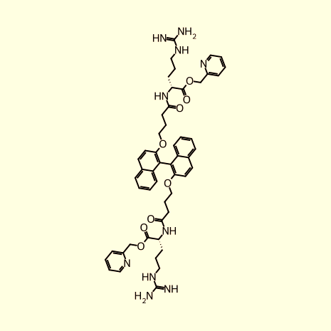 N=C(N)NCCC[C@@H](NC(=O)CCCOc1ccc2ccccc2c1-c1c(OCCCC(=O)N[C@H](CCCNC(=N)N)C(=O)OCc2ccccn2)ccc2ccccc12)C(=O)OCc1ccccn1